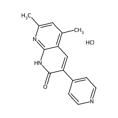 Cc1cc(C)c2cc(-c3ccncc3)c(=O)[nH]c2n1.Cl